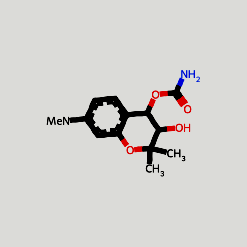 CNc1ccc2c(c1)OC(C)(C)C(O)C2OC(N)=O